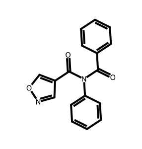 O=C(c1ccccc1)N(C(=O)c1cnoc1)c1ccccc1